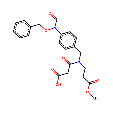 COC(=O)CCN(Cc1ccc(N(C=O)OCc2ccccc2)cc1)C(=O)CC(=O)O